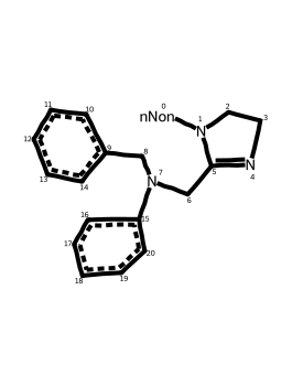 CCCCCCCCCN1CCN=C1CN(Cc1ccccc1)c1ccccc1